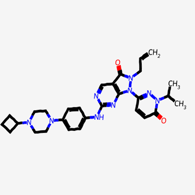 C=CCn1c(=O)c2cnc(Nc3ccc(N4CCN(C5CCC5)CC4)cc3)nc2n1-c1ccc(=O)n(C(C)C)n1